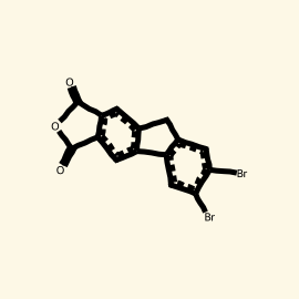 O=C1OC(=O)c2cc3c(cc21)Cc1cc(Br)c(Br)cc1-3